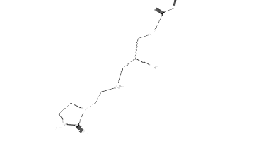 C=CC(=O)OCC(O)CNCCN1CCNC1=O